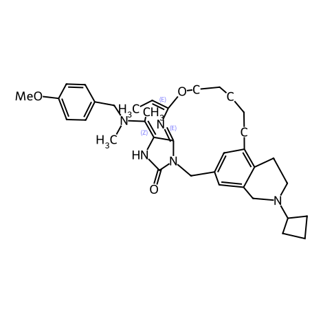 C\C=C1/N=c2\c(=C(/C)N(C)Cc3ccc(OC)cc3)[nH]c(=O)n2Cc2cc(c3c(c2)CN(C2CCC2)CC3)CCCCCO1